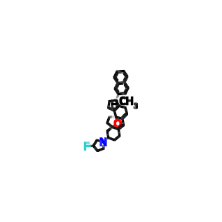 C[C@]12CC=C3C=C4CC[C@H](N5CC[C@@H](F)C5)C[C@]45CC[C@]3(O5)[C@@H]1CC[C@@H]2c1ccc2ccccc2c1